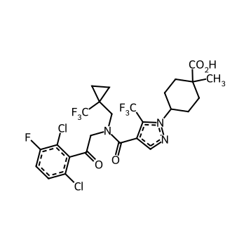 CC1(C(=O)O)CCC(n2ncc(C(=O)N(CC(=O)c3c(Cl)ccc(F)c3Cl)CC3(C(F)(F)F)CC3)c2C(F)(F)F)CC1